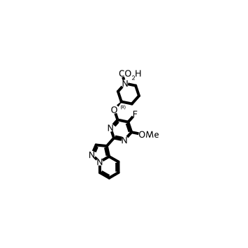 COc1nc(-c2cnn3ccccc23)nc(O[C@@H]2CCCN(C(=O)O)C2)c1F